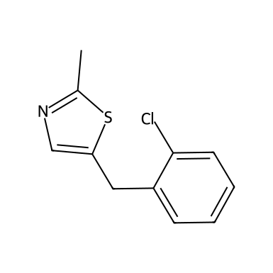 Cc1ncc(Cc2ccccc2Cl)s1